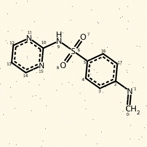 C=Nc1ccc(S(=O)(=O)Nc2ncccn2)cc1